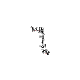 O=C1CCC(N2Cc3cc(CNC(=O)NCCOCCOCCNCc4ccc(-n5cc(NC(=O)c6coc(-c7ccnc(NCC8CC8)c7)n6)c(C(F)F)n5)cc4)ccc3C2=O)C(=O)N1